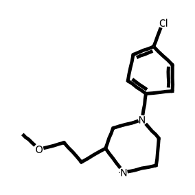 COCCC1CN(c2ccc(Cl)cc2)CC[N]1